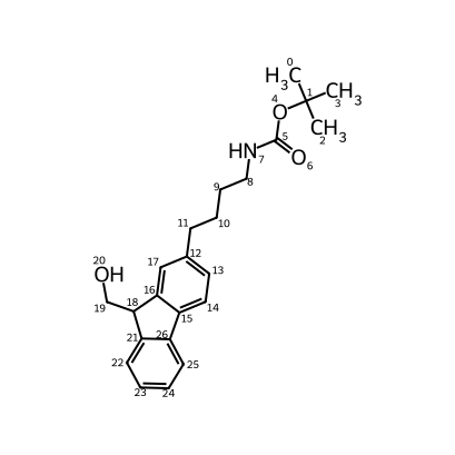 CC(C)(C)OC(=O)NCCCCc1ccc2c(c1)C(CO)c1ccccc1-2